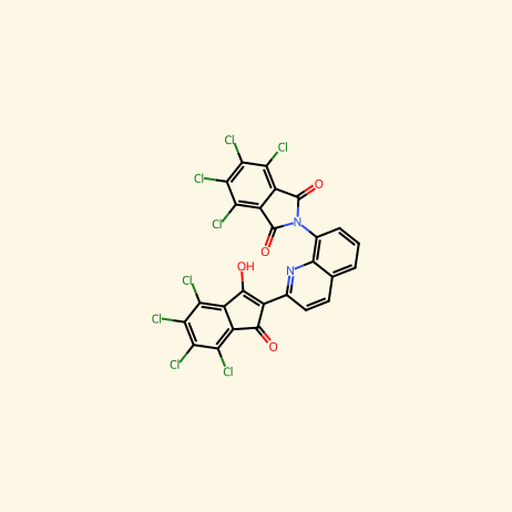 O=C1C(c2ccc3cccc(N4C(=O)c5c(Cl)c(Cl)c(Cl)c(Cl)c5C4=O)c3n2)=C(O)c2c(Cl)c(Cl)c(Cl)c(Cl)c21